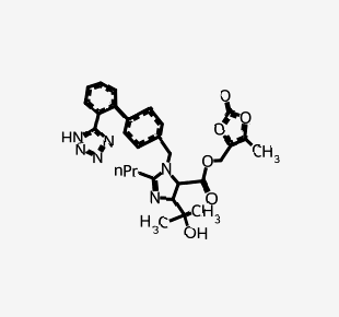 CCCC1=NC(C(C)(C)O)C(C(=O)OCc2oc(=O)oc2C)N1Cc1ccc(-c2ccccc2-c2nnn[nH]2)cc1